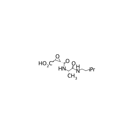 CC(C)CCNC(=O)[C@H](C)NC(=O)[C@H]1O[C@@H]1C(=O)O